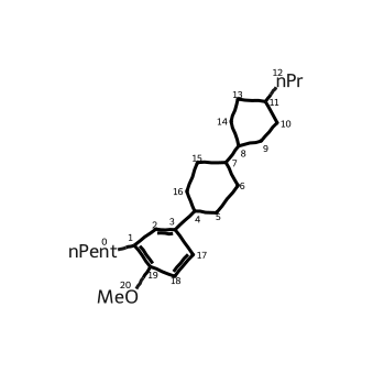 CCCCCc1cc(C2CCC(C3CCC(CCC)CC3)CC2)ccc1OC